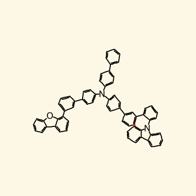 c1ccc(-c2ccc(N(c3ccc(-c4cccc(-c5ccccc5-n5c6ccccc6c6ccccc65)c4)cc3)c3ccc(-c4cccc(-c5cccc6c5oc5ccccc56)c4)cc3)cc2)cc1